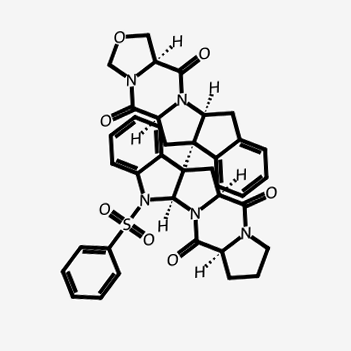 O=C1[C@@H]2C[C@]3(C45C[C@H]6C(=O)N7CCC[C@H]7C(=O)N6[C@H]4N(S(=O)(=O)c4ccccc4)c4ccccc45)c4ccccc4C[C@@H]3N2C(=O)[C@@H]2COCN12